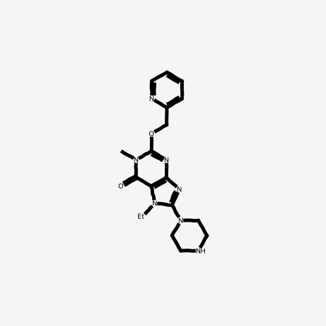 CCn1c(N2CCNCC2)nc2nc(OCc3ccccn3)n(C)c(=O)c21